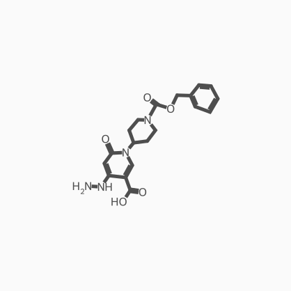 NNc1cc(=O)n(C2CCN(C(=O)OCc3ccccc3)CC2)cc1C(=O)O